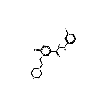 O=C(NNc1cccc(F)c1)c1ccc(=O)n(CCN2CCOCC2)c1